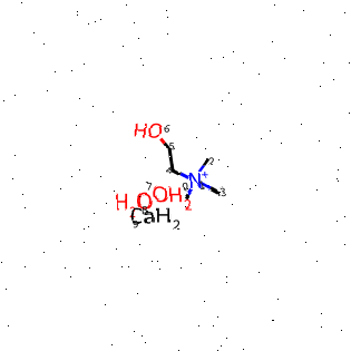 C[N+](C)(C)CCO.O.O.[CaH2]